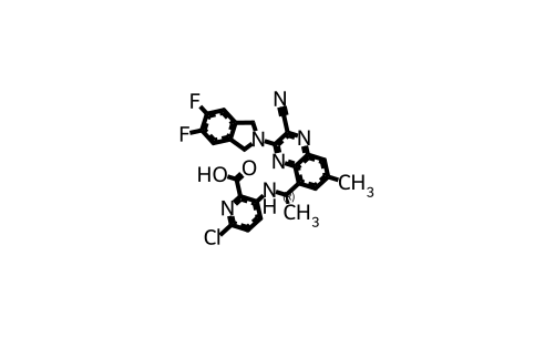 Cc1cc([C@@H](C)Nc2ccc(Cl)nc2C(=O)O)c2nc(N3Cc4cc(F)c(F)cc4C3)c(C#N)nc2c1